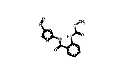 COC(=O)Nc1ccccc1C(=O)Nc1ncc(N=O)s1